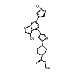 Cn1cc(-c2cc(-c3cnn(C4CCN(C(=O)OC(C)(C)C)CC4)c3)c3c(C#N)cnn3c2)cn1